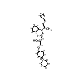 C=C/C=C\C=C(/C)C(CNCC(O)COc1ccc(C2CCCCC2)cc1)c1ccccc1